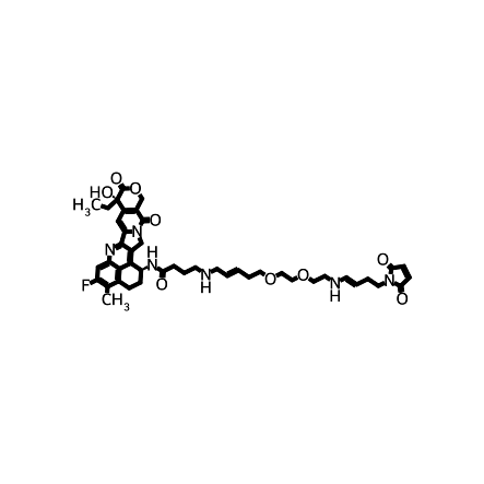 CC[C@@]1(O)C(=O)OCc2c1cc1n(c2=O)Cc2c-1nc1cc(F)c(C)c3c1c2[C@@H](NC(=O)CCCNCC=CCCOCCOCCNC=CCCN1C(=O)C=CC1=O)CC3